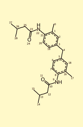 Cc1cc(Cc2ccc(NC(=O)CC(C)C)c(C)c2)ccc1NC(=O)CC(C)C